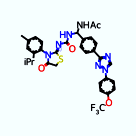 CC(=O)NC(NC(=O)/N=C1\SCC(=O)N1c1ccc(C)cc1C(C)C)c1ccc(-c2ncn(-c3ccc(OC(F)(F)F)cc3)n2)cc1